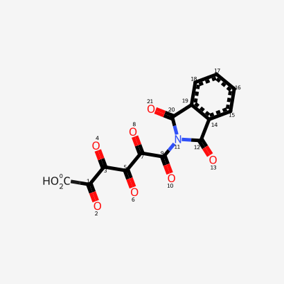 O=C(O)C(=O)C(=O)C(=O)C(=O)C(=O)N1C(=O)c2ccccc2C1=O